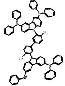 FC(F)(F)c1ccc(-c2ccc(C(F)(F)F)c(-n3c4ccc(N(c5ccccc5)c5ccccc5)cc4c4cc(N(c5ccccc5)c5ccccc5)ccc43)c2)cc1-n1c2ccc(Nc3ccccc3)cc2c2cc(N(c3ccccc3)c3ccccc3)ccc21